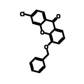 O=c1c2ccc(Cl)cc2oc2c(OCc3ccccc3)cccc12